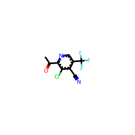 CC(=O)c1ncc(C(F)(F)F)c(C#N)c1Cl